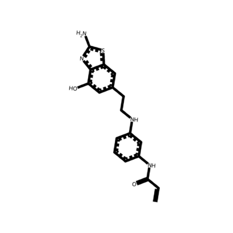 C=CC(=O)Nc1cccc(NCCc2cc(O)c3nc(N)sc3c2)c1